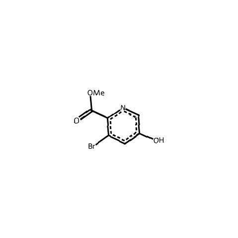 COC(=O)c1ncc(O)cc1Br